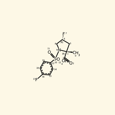 C[C@]1(C(=O)O)C[C@@H](F)CN1S(=O)(=O)c1ccc(F)cc1